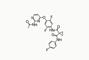 CC(=O)Nc1nccc(Oc2cc(F)c(NC(=O)C3(C(=O)Nc4ccc(F)cc4)CC3)cc2F)n1